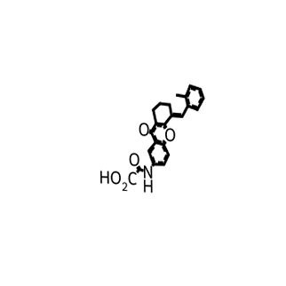 Cc1ccccc1C=C1CCCc2c1oc1ccc(NC(=O)C(=O)O)cc1c2=O